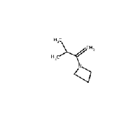 C=C(C(C)C)N1CCC1